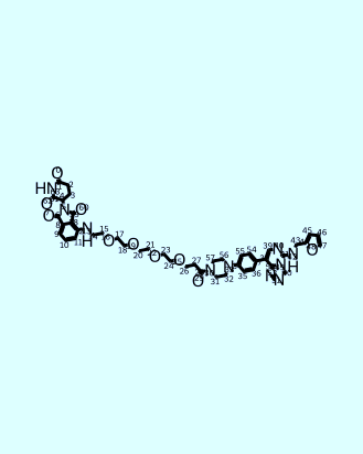 O=C1CCC(N2C(=O)c3cccc(NCCOCCOCCOCCOCCC(=O)N4CCN(c5ccc(-c6cnc(NCc7ccco7)n7cnnc67)cc5)CC4)c3C2=O)C(=O)N1